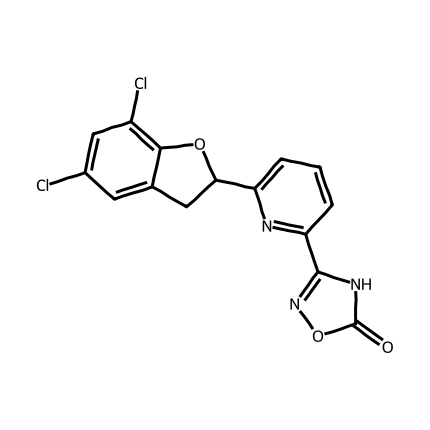 O=c1[nH]c(-c2cccc(C3Cc4cc(Cl)cc(Cl)c4O3)n2)no1